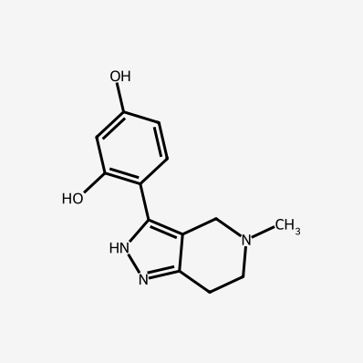 CN1CCc2n[nH]c(-c3ccc(O)cc3O)c2C1